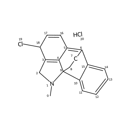 CN1CC2=C3C(=C4CCC31c1ccccc14)C=CC2Cl.Cl